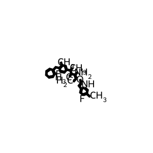 C=C/C(Oc1cc2cc(F)c(CC)cc2[nH]1)=C(/N)C(C)C(C)c1ccc(CC2=C(F)C=CCC=C2)c(C)c1